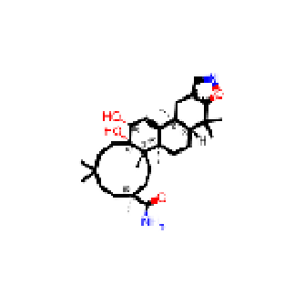 CC1(C)CC[C@](C)(C(N)=O)CC[C@]2(C)[C@@](O)(CC1)[C@H](O)C=C1[C@@]3(C)Cc4cnoc4C(C)(C)[C@@H]3CC[C@]12C